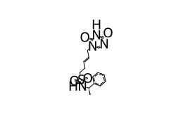 C[C@@H](NS(=O)(=O)CC/C=C/Cn1cnc(=O)[nH]c1=O)c1ccccc1